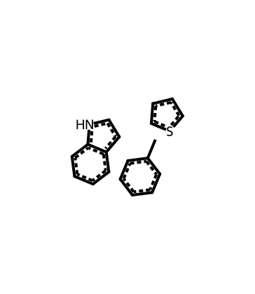 Cc1ccccc1.c1ccc2[nH]ccc2c1.c1ccsc1